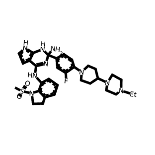 CCN1CCN(C2CCN(c3ccc(C4(N)N=C(Nc5cccc6c5N(S(C)(=O)=O)CC6)c5cc[nH]c5N4)cc3F)CC2)CC1